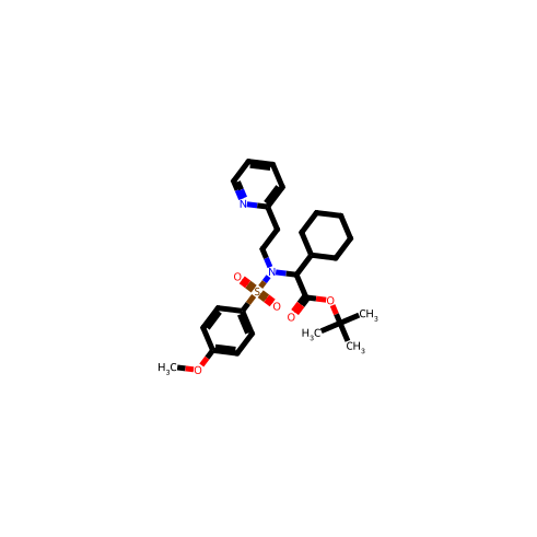 COc1ccc(S(=O)(=O)N(CCc2ccccn2)C(C(=O)OC(C)(C)C)C2CCCCC2)cc1